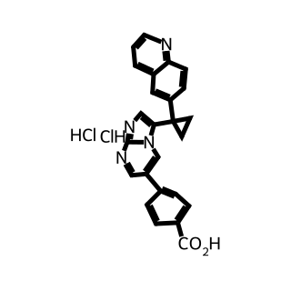 Cl.Cl.O=C(O)c1ccc(-c2cnc3ncc(C4(c5ccc6ncccc6c5)CC4)n3c2)cc1